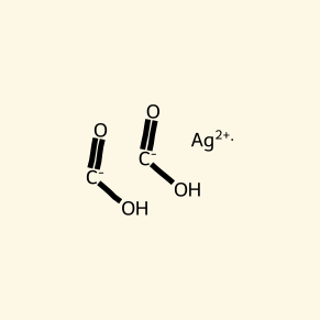 O=[C-]O.O=[C-]O.[Ag+2]